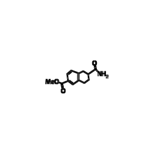 COC(=O)c1ccc2c(c1)CCC(C(N)=O)C2